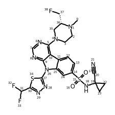 CN1CCN(c2ncnc3c2c2ccc(S(=O)(=O)NC4(C#N)CC4)cc2n3-c2nnc(C(F)F)s2)C[C@@H]1CF